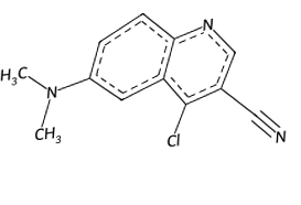 CN(C)c1ccc2ncc(C#N)c(Cl)c2c1